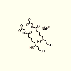 O=C([O-])CNC(=O)CCCCC(S)CCS.O=C([O-])CNC(=O)CCCCC(S)CCS.[NaH].[Zn+2]